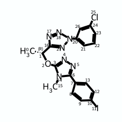 C[C@@H](Oc1nnc(-c2ccc(I)cc2)n1C)c1nnn(-c2cccc(Cl)c2)n1